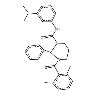 Cc1cccc(C)c1C(=O)N1CCCC(C(=O)Nc2cccc(C(C)C)c2)C1c1ccccc1